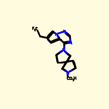 O=C(O)N1CCC2(CCN(c3ncnn4cc(CC(F)(F)F)cc34)C2)C1